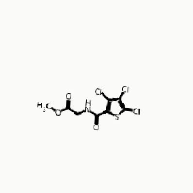 COC(=O)CNC(=O)c1sc(Cl)c(Cl)c1Cl